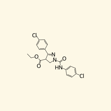 CCOC(=O)C1CN(C(=O)Nc2ccc(Cl)cc2)N=C1c1ccc(Cl)cc1